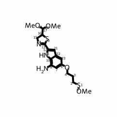 COSCCCOc1cc(N)c2[nH]c(C3=NCC(C(OC)OC)S3)cc2c1